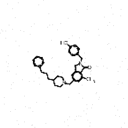 Cc1cc(CN2CCC(CCCc3ccccc3)CC2)cc2c1C(=O)N(Cc1ccc(O)cc1)C2